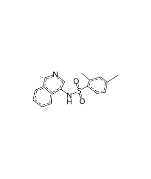 Cc1ccc(S(=O)(=O)Nc2cn[c]c3ccccc23)c(C)c1